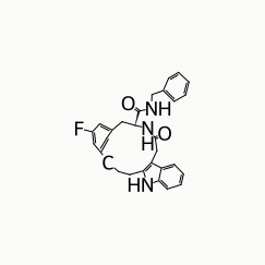 O=C1Cc2c([nH]c3ccccc23)CCCc2cc(F)cc(c2)C[C@@H](C(=O)NCc2ccccc2)N1